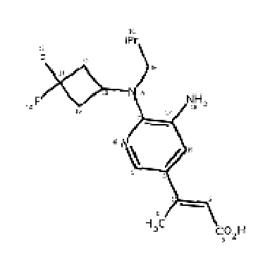 CC(=CC(=O)O)c1cnc(N(CC(C)C)C2CC(F)(F)C2)c(N)c1